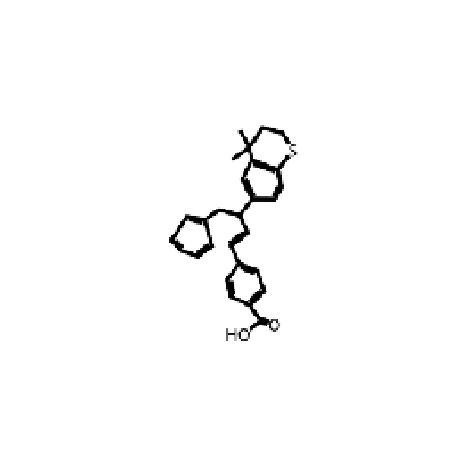 CC1(C)CCSc2ccc(C(/C=C/c3ccc(C(=O)O)cc3)Cc3ccccc3)cc21